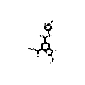 CNC(=O)c1cc(C(=O)Nc2cnn(C)c2)cc2c1O[C@H](CF)[C@H]2C